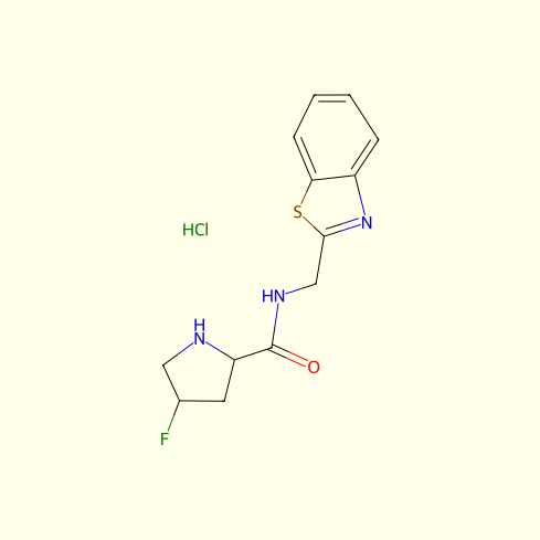 Cl.O=C(NCc1nc2ccccc2s1)C1CC(F)CN1